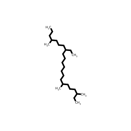 CCCC(C)CCCC(CC)CCCCCCCC(C)CCCC(C)CC